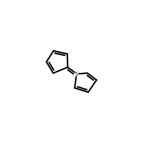 C1=CC(=S2C=CC=C2)C=C1